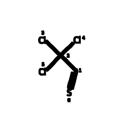 S=[C]C(Cl)(Cl)Cl